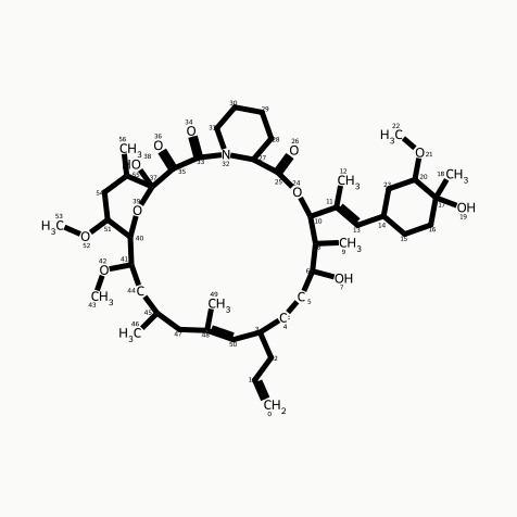 C=CCC1[C]CC(O)C(C)C(C(C)=CC2CCC(C)(O)C(OC)C2)OC(=O)C2CCCCN2C(=O)C(=O)C2(O)OC(C(OC)CC(C)C/C(C)=C/1)C(OC)CC2C